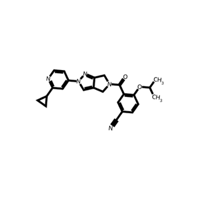 CC(C)Oc1ccc(C#N)cc1C(=O)N1Cc2cn(-c3ccnc(C4CC4)c3)nc2C1